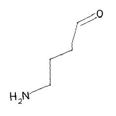 NCCCC=O